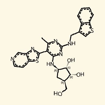 Cc1nc(NCc2csc3ccccc23)nc(N[C@@H]2C[C@H](CO)[C@@H](O)[C@H]2O)c1-c1nc2cnccc2s1